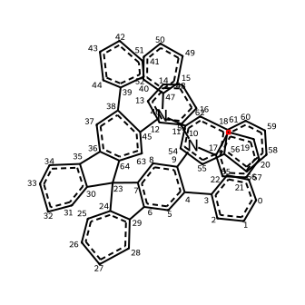 c1ccc(-c2cc3c(cc2N(c2ccccc2)c2ccccc2)C2(c4ccccc4-3)c3ccccc3-c3cc(-c4ccccc4)c(N(c4ccccc4)c4ccc5ccccc5c4)cc32)cc1